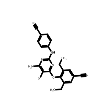 CCc1cc(C#N)cc(CC)c1Oc1nc(Nc2ccc(C#N)cc2)nc(N)c1Br